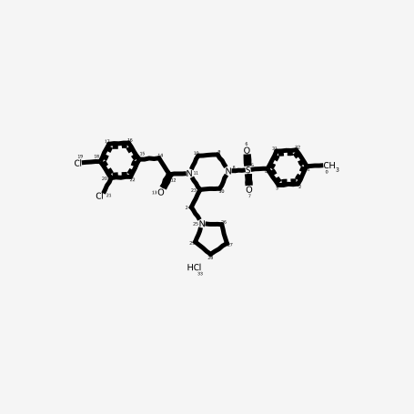 Cc1ccc(S(=O)(=O)N2CCN(C(=O)Cc3ccc(Cl)c(Cl)c3)C(CN3CCCC3)C2)cc1.Cl